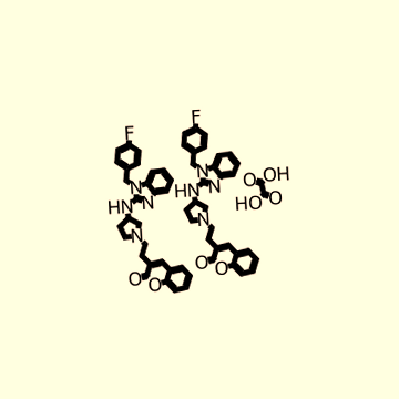 O=C(O)C(=O)O.O=c1oc2ccccc2cc1CCN1CCC(Nc2nc3ccccc3n2Cc2ccc(F)cc2)C1.O=c1oc2ccccc2cc1CCN1CCC(Nc2nc3ccccc3n2Cc2ccc(F)cc2)C1